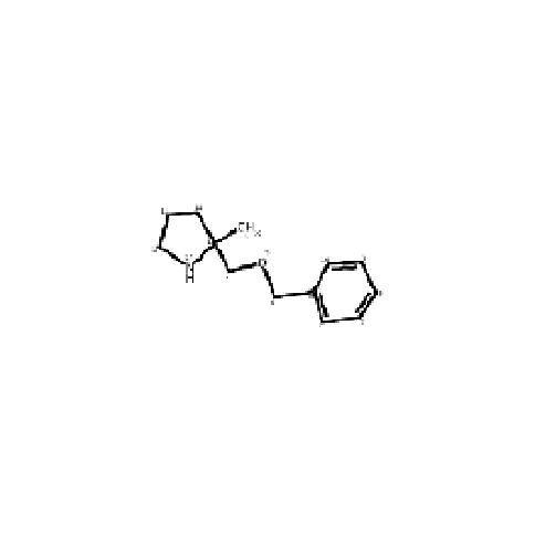 CC1(COCc2ccccc2)CCCN1